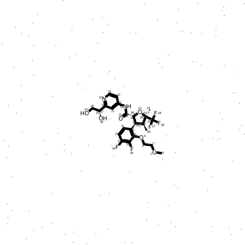 COCCOc1c([C@H]2[C@H](C(=O)Nc3ccnc([C@H](O)CO)c3)O[C@@](C)(C(F)(F)F)[C@H]2C)ccc(F)c1F